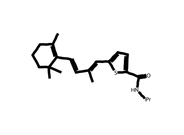 CC(C=CC1=C(C)CCCC1(C)C)=Cc1ccc(C(=O)NC(C)C)s1